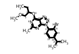 CCC(COC)Oc1nc(C)nc2c1nnn2-c1ccc(C(C)C)cc1Br